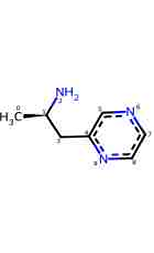 C[C@@H](N)Cc1cnccn1